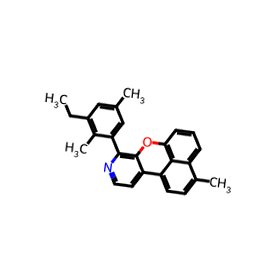 CCc1cc(C)cc(-c2nccc3c2Oc2cccc4c(C)ccc-3c24)c1C